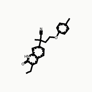 CCc1cc2ccc(C(C)(C#N)CCOc3ccc(C)cc3)cc2[nH]c1=O